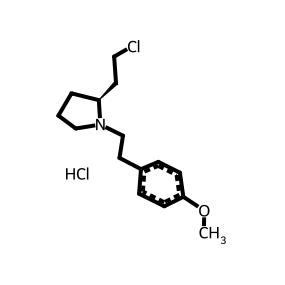 COc1ccc(CCN2CCC[C@H]2CCCl)cc1.Cl